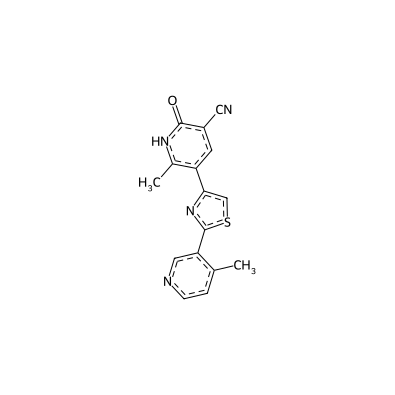 Cc1ccncc1-c1nc(-c2cc(C#N)c(=O)[nH]c2C)cs1